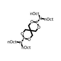 CCCCCCCCN(CCCCCCCC)P1OCC2(CO1)COP(N(CCCCCCCC)CCCCCCCC)OC2